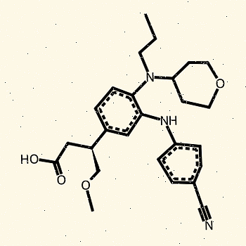 CCCN(c1ccc([C@@H](COC)CC(=O)O)cc1Nc1ccc(C#N)cc1)C1CCOCC1